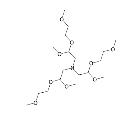 COCCOC(CN(CC(OC)OCCOC)CC(OC)OCCOC)OC